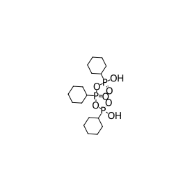 O=P(O)(OP(=O)(OP(=O)(O)C1CCCCC1)C1CCCCC1)C1CCCCC1